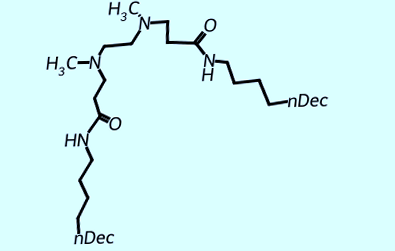 CCCCCCCCCCCCCCNC(=O)CCN(C)CCN(C)CCC(=O)NCCCCCCCCCCCCCC